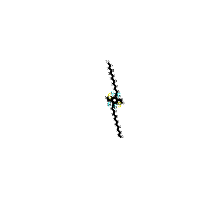 CCCCCCCCCCCCC(F)(F)c1c2ccsc2c(C(F)(F)CCCCCCCCCCCC)c2ccsc12